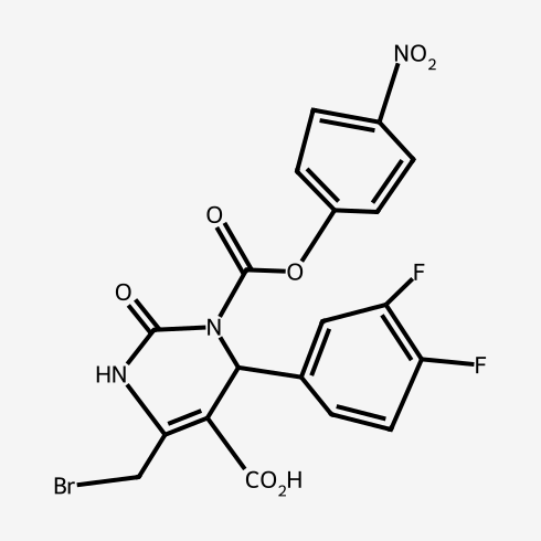 O=C(O)C1=C(CBr)NC(=O)N(C(=O)Oc2ccc([N+](=O)[O-])cc2)C1c1ccc(F)c(F)c1